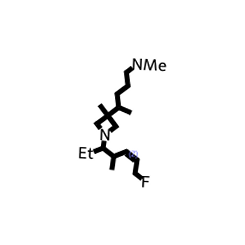 CCC(C(C)/C=C\CF)N1CC(C)(C(C)CCCNC)C1